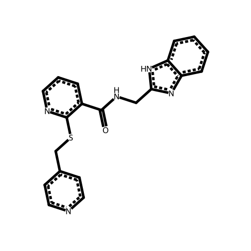 O=C(NCc1nc2ccccc2[nH]1)c1cccnc1SCc1ccncc1